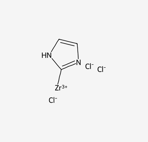 [Cl-].[Cl-].[Cl-].[Zr+3][c]1ncc[nH]1